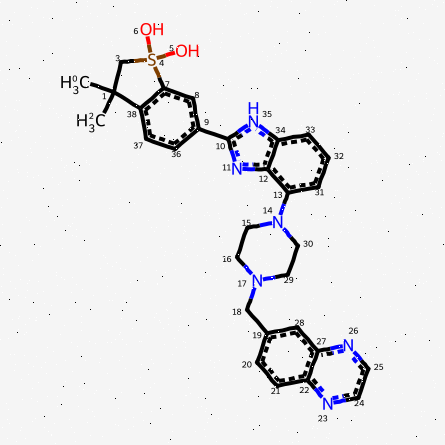 CC1(C)CS(O)(O)c2cc(-c3nc4c(N5CCN(Cc6ccc7nccnc7c6)CC5)cccc4[nH]3)ccc21